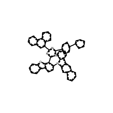 c1ccc(-c2ccc(-c3nc(-c4cc5ccccc5c5ccccc45)nc(-c4c(-n5c6ccccc6c6cc7ccccc7cc65)ccc5c4oc4ccccc45)n3)cc2)cc1